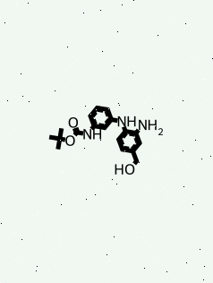 CC(C)(C)OC(=O)Nc1cccc(Nc2ccc(CO)cc2N)c1